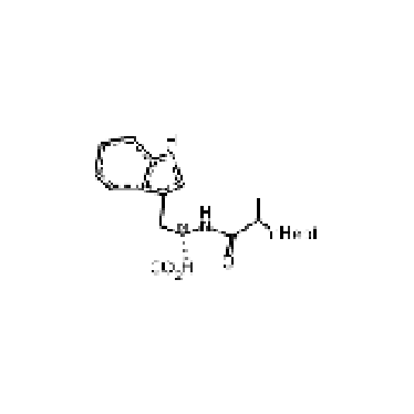 CCCCCCCC(C)C(=O)N[C@@H](Cc1c[nH]c2ccccc12)C(=O)O